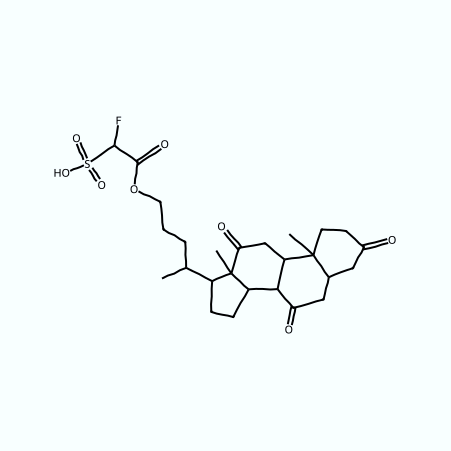 CC(CCCOC(=O)C(F)S(=O)(=O)O)C1CCC2C3C(=O)CC4CC(=O)CCC4(C)C3CC(=O)C12C